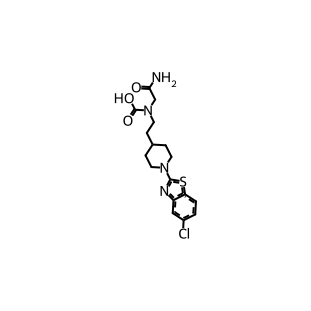 NC(=O)CN(CCC1CCN(c2nc3cc(Cl)ccc3s2)CC1)C(=O)O